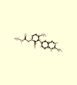 COC(=O)Cn1ccc(C)c(-c2ccc3nc(N)ncc3c2)c1=O